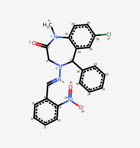 CN1C(=O)CN(/N=C/c2ccccc2[N+](=O)[O-])C(c2ccccc2)c2cc(Cl)ccc21